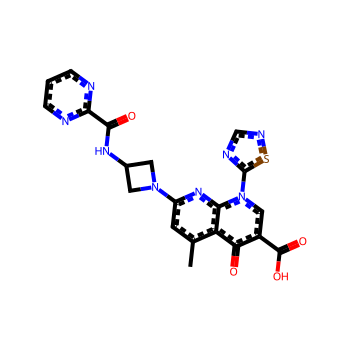 Cc1cc(N2CC(NC(=O)c3ncccn3)C2)nc2c1c(=O)c(C(=O)O)cn2-c1ncns1